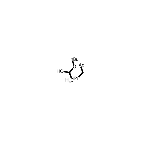 CC(=O)CC(C)C.CCCCOC(C)O